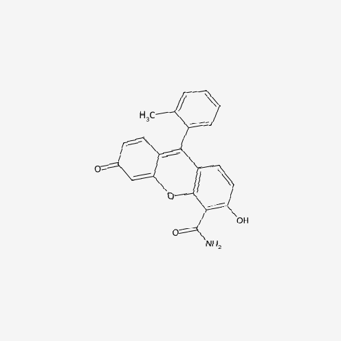 Cc1ccccc1-c1c2ccc(=O)cc-2oc2c(C(N)=O)c(O)ccc12